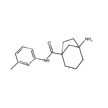 Cc1cccc(NC(=O)C23CCCC(N)(CC2)C3)n1